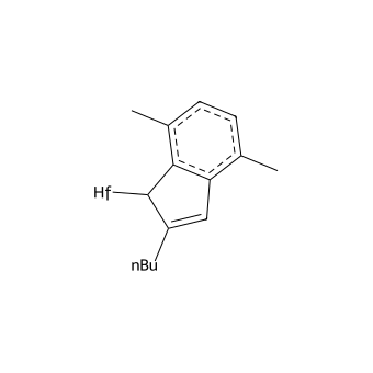 CCCCC1=Cc2c(C)ccc(C)c2[CH]1[Hf]